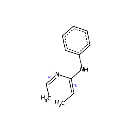 C/C=N\C(=C/C)Nc1ccccc1